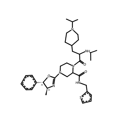 CC(C)NC(CC1CCN(C(C)C)CC1)C(=O)N1CCN(C2=N[C@@H](C)[C@H](c3ccccc3)O2)CC1C(=O)NCc1cccs1